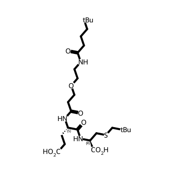 CC(C)(C)CCCC(=O)NCCOCCC(=O)N[C@@H](CCC(=O)O)C(=O)N[C@@H](CSCC(C)(C)C)C(=O)O